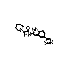 O=C(CN1CCCCC1)Nc1cc2cc(-c3cncs3)ccc2nn1